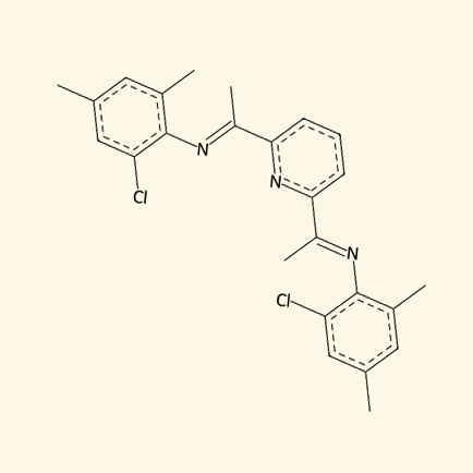 CC(=Nc1c(C)cc(C)cc1Cl)c1cccc(C(C)=Nc2c(C)cc(C)cc2Cl)n1